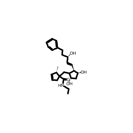 CCNC(=O)C1(CC2[C@@H](/C=C/[C@@H](O)CCc3ccccc3)[C@H](O)C[C@@H]2O)CC=C[C@@H]1C